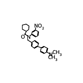 CN(C)c1ccc(-c2ccc(CN(C(=O)C3CCCCC3)c3cccc([N+](=O)[O-])c3)cc2)cc1